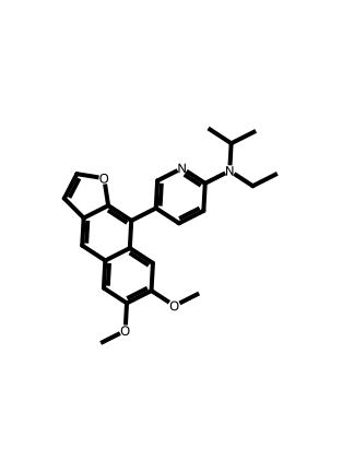 CCN(c1ccc(-c2c3cc(OC)c(OC)cc3cc3ccoc23)cn1)C(C)C